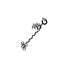 CS(=O)(=O)OCCCCCCCCN1C=C(c2cccnc2)NN1